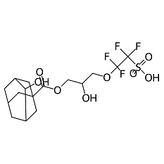 O=C(OCC(O)COC(F)(F)C(F)(F)S(=O)(=O)O)C12CC3CC(C1)C(O)C(C3)C2